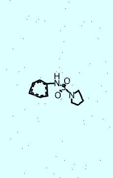 O=S(=O)(Nc1ccccc1)N1CCCC1